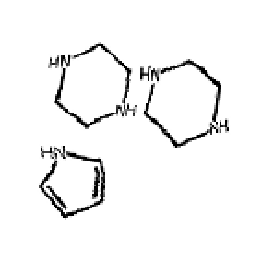 C1CNCCN1.C1CNCCN1.c1cc[nH]c1